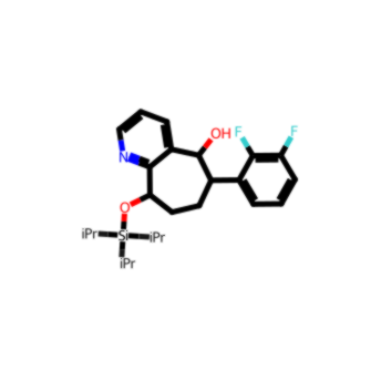 CC(C)[Si](OC1CCC(c2cccc(F)c2F)C(O)c2cccnc21)(C(C)C)C(C)C